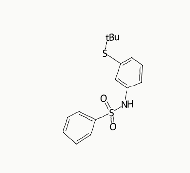 CC(C)(C)Sc1cccc(NS(=O)(=O)c2ccccc2)c1